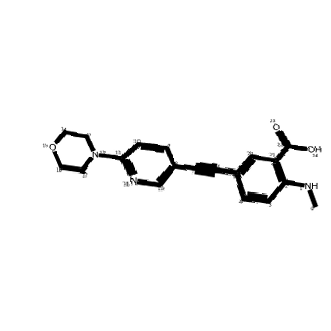 CNc1ccc(C#Cc2ccc(N3CCOCC3)nc2)cc1C(=O)O